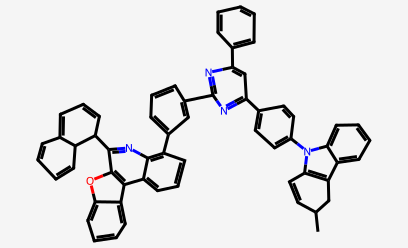 CC1C=Cc2c(c3ccccc3n2-c2ccc(-c3cc(-c4ccccc4)nc(-c4cccc(-c5cccc6c5nc(C5C=CC=C7C=CC=CC75)c5oc7ccccc7c56)c4)n3)cc2)C1